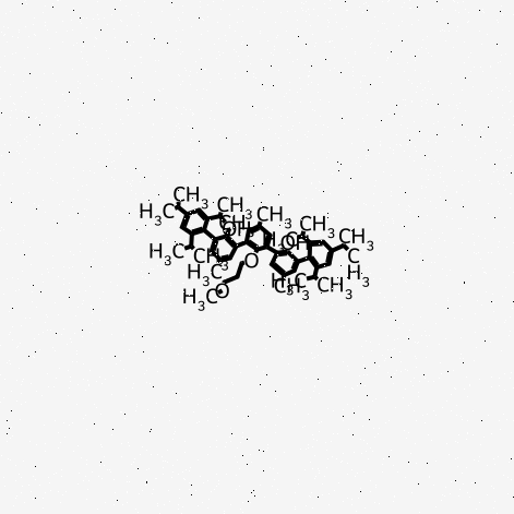 COCCCOc1c(-c2cc(C)cc(-c3c(C(C)C)cc(C(C)C)cc3C(C)C)c2O)cc(C)cc1-c1cc(C)cc(-c2c(C(C)C)cc(C(C)C)cc2C(C)C)c1O